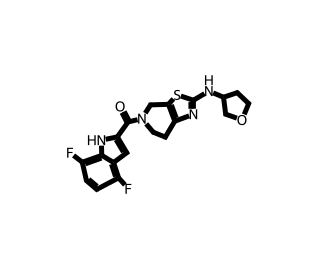 O=C(c1cc2c(F)ccc(F)c2[nH]1)N1CCc2nc(NC3CCOC3)sc2C1